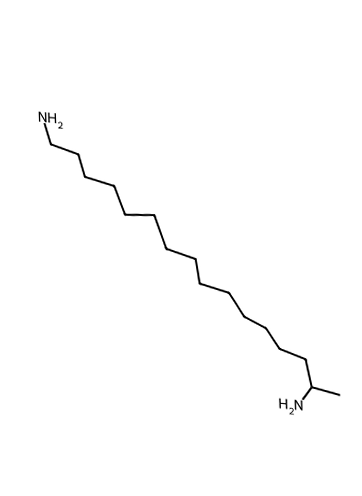 CC(N)CCCCCCCCCCCCCCN